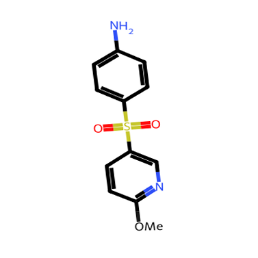 COc1ccc(S(=O)(=O)c2ccc(N)cc2)cn1